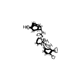 O=C(CN1CCCN(c2ccc(Cl)c(Cl)c2)S1(O)O)NC1C2CC3CC1CC(O)(C3)C2